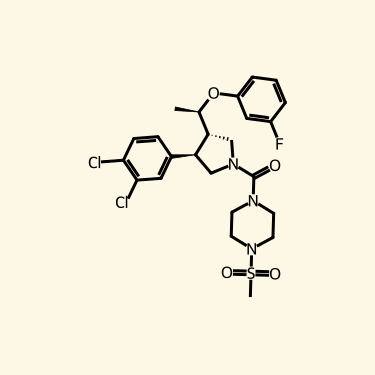 C[C@@H](Oc1cccc(F)c1)[C@@H]1CN(C(=O)N2CCN(S(C)(=O)=O)CC2)C[C@H]1c1ccc(Cl)c(Cl)c1